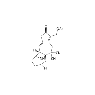 CC(=O)OCC1=C2CC(C#N)(C#N)C3=C[C@H]4CCC(N4)[C@@H]3C=C2CC1=O